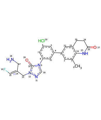 Cc1cc(-c2cccc(-n3cnn(C/C(=C/F)CN)c3=O)c2)cc2c1NC(=O)CC2.Cl